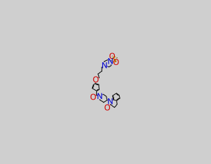 CS(=O)(=O)N1CCN(CCCCOc2ccc(C(=O)N3CCC(N4C(=O)CCc5ccccc54)CC3)cc2)CC1